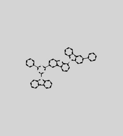 c1ccc(-c2ccc3c(c2)c2ccccc2n3-c2cccc3c2oc2ccc(-c4nc(-c5ccccc5)nc(-n5c6ccccc6c6ccccc65)n4)cc23)cc1